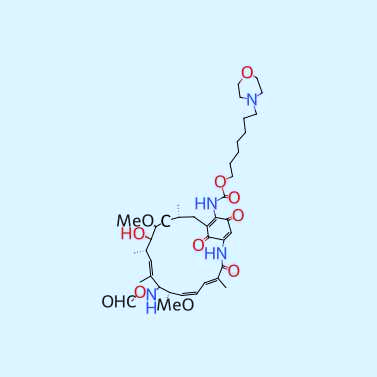 CO[C@H]1/C=C\C=C(/C)C(=O)NC2=CC(=O)C(NC(=O)OCCCCCCCN3CCOCC3)=C(C[C@@H](C)C[C@H](OC)[C@H](O)[C@@H](C)/C=C(\C)[C@@H]1NOC=O)C2=O